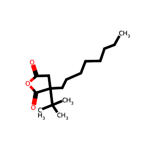 CCCCCCCCC1(C(C)(C)C)CC(=O)OC1=O